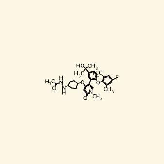 CC(=O)NN[C@H]1CC[C@@H](Oc2cc(=O)n(C)cc2-c2cc(C(C)(C)O)ccc2Oc2c(C)cc(F)cc2C)CC1